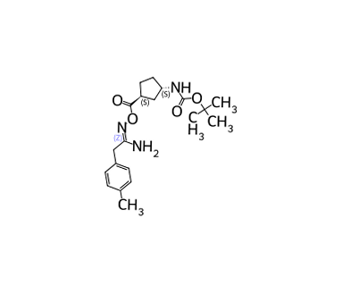 Cc1ccc(C/C(N)=N/OC(=O)[C@H]2CC[C@H](NC(=O)OC(C)(C)C)C2)cc1